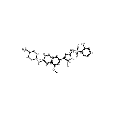 COc1cc(-c2cc(NS(=O)(=O)c3ccccc3Cl)nn2C)cc2cnc(N[C@H]3CC[C@H](N)CC3)nc12